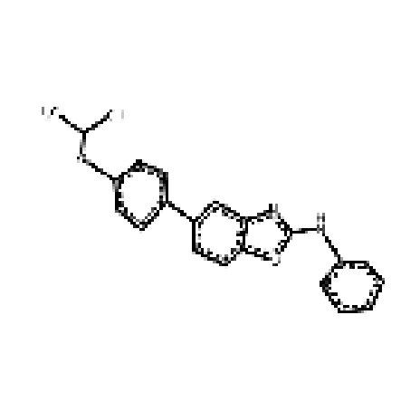 CC(C)Oc1ccc(-c2ccc3oc(Nc4ccccc4)nc3c2)cc1